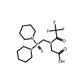 O=C(O)CN(CP(=S)(N1CCCCC1)N1CCCCC1)C(=O)C(F)(F)F